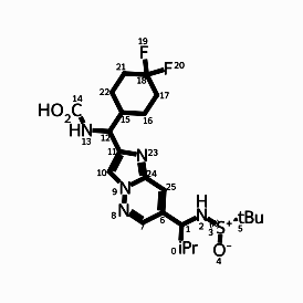 CC(C)C(N[S@@+]([O-])C(C)(C)C)c1cnn2cc(C(NC(=O)O)C3CCC(F)(F)CC3)nc2c1